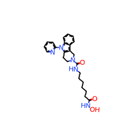 O=C(CCCCCCNC(=O)N1CCc2c(c3ccccc3n2-c2ccccn2)C1)NO